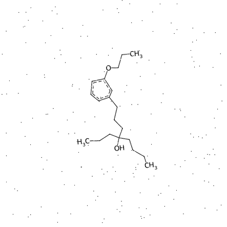 CCCCC(O)(CCC)CCCc1cccc(OCCC)c1